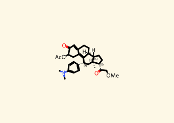 COCC(=O)[C@H]1CC[C@H]2[C@@H]3CCC4=CC(=O)C(OC(C)=O)CC4=C3[C@@H](c3ccc(N(C)C)cc3)C[C@]12C